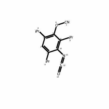 CC(C)c1cc(C(C)C)c(OC#N)c(C(C)C)c1N=C=O